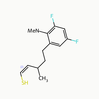 CNc1c(F)cc(F)cc1CCC(C)/C=C\S